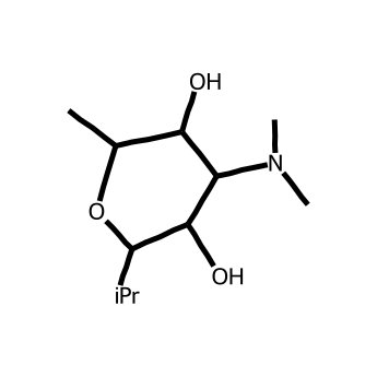 CC(C)C1OC(C)C(O)C(N(C)C)C1O